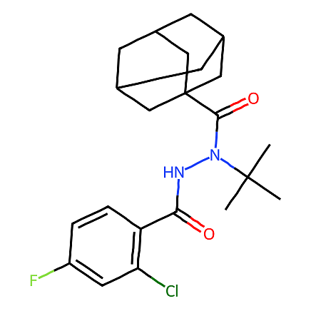 CC(C)(C)N(NC(=O)c1ccc(F)cc1Cl)C(=O)C12CC3CC(CC(C3)C1)C2